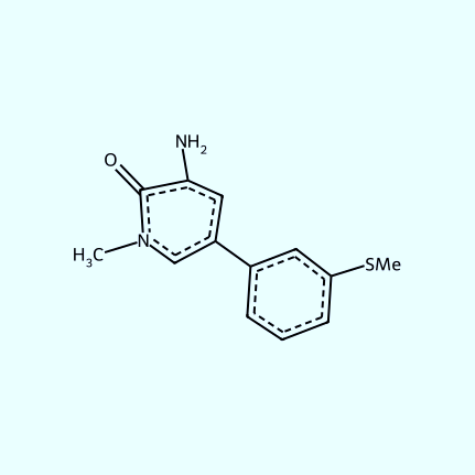 CSc1cccc(-c2cc(N)c(=O)n(C)c2)c1